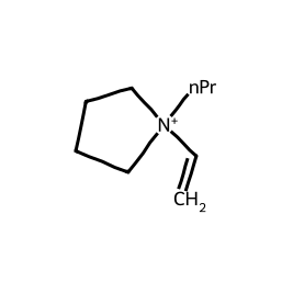 C=C[N+]1(CCC)CCCC1